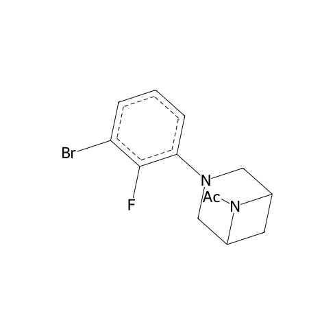 CC(=O)N1C2CC1CN(c1cccc(Br)c1F)C2